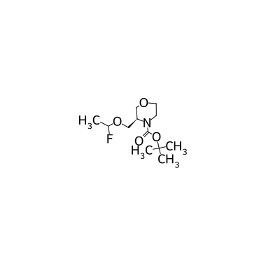 CC(F)OC[C@H]1COCCN1C(=O)OC(C)(C)C